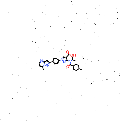 Cc1ccnc2cc(-c3ccc(-n4cc(C(=O)O)c(N(C(=O)C5CCC(C)CC5)C(C)C)n4)cc3)nn12